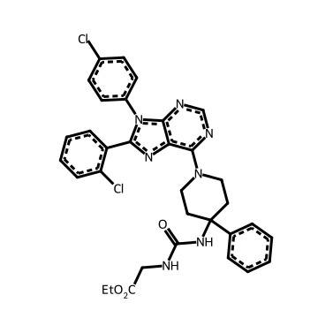 CCOC(=O)CNC(=O)NC1(c2ccccc2)CCN(c2ncnc3c2nc(-c2ccccc2Cl)n3-c2ccc(Cl)cc2)CC1